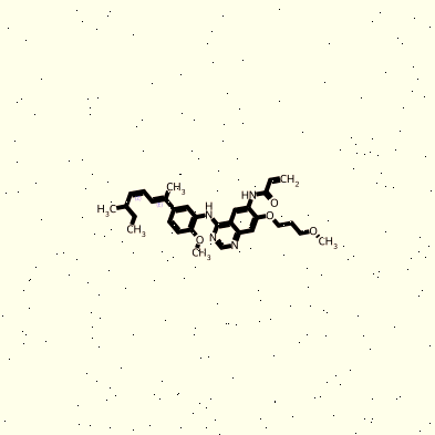 C=CC(=O)Nc1cc2c(Nc3cc(/C(C)=C/C=C\C(C)CC)ccc3OC)ncnc2cc1OCCCOC